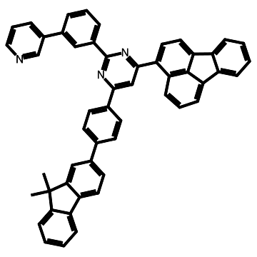 CC1(C)c2ccccc2-c2ccc(-c3ccc(-c4cc(-c5ccc6c7c(cccc57)-c5ccccc5-6)nc(-c5cccc(-c6cccnc6)c5)n4)cc3)cc21